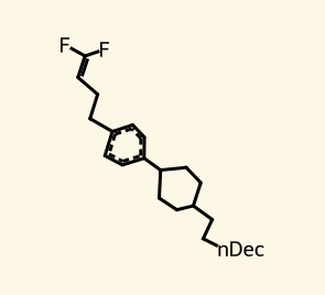 CCCCCCCCCCCCC1CCC(c2ccc(CCC=C(F)F)cc2)CC1